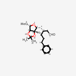 CO[C@@H]1O[C@H](C[C@H](CC=O)CCCc2ccccc2)[C@@H]2OC(C)(C)OC12